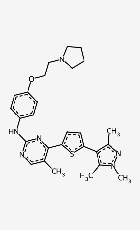 Cc1cnc(Nc2ccc(OCCN3CCCC3)cc2)nc1-c1ccc(-c2c(C)nn(C)c2C)s1